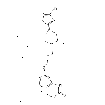 CC(C)c1noc(N2CCC(CCCOc3ccc4c(c3)NC(=O)CC4)CC2)n1